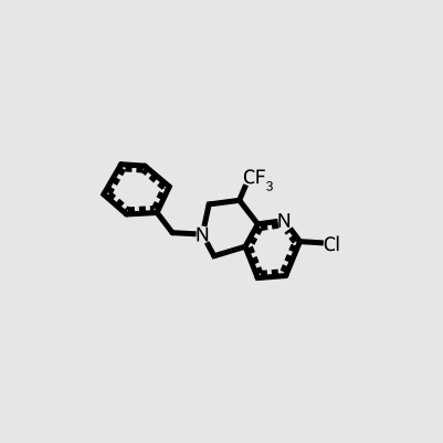 FC(F)(F)C1CN(Cc2ccccc2)Cc2ccc(Cl)nc21